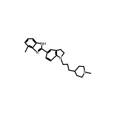 Cc1cccc2[nH]c(-c3ccc4c(c3)CCN4CCCC3CCN(C)CC3)nc12